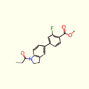 CCC(=O)N1CCc2cc(-c3ccc(C(=O)OC)c(F)c3)ccc21